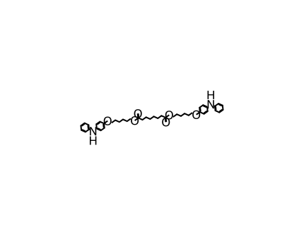 O=C(CCCCCCC(=O)OCCCCCCOc1ccc(Nc2ccccc2)cc1)OCCCCCCOc1ccc(Nc2ccccc2)cc1